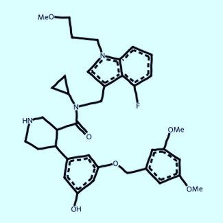 COCCCn1cc(CN(C(=O)C2CNCCC2c2cc(O)cc(OCc3cc(OC)cc(OC)c3)c2)C2CC2)c2c(F)cccc21